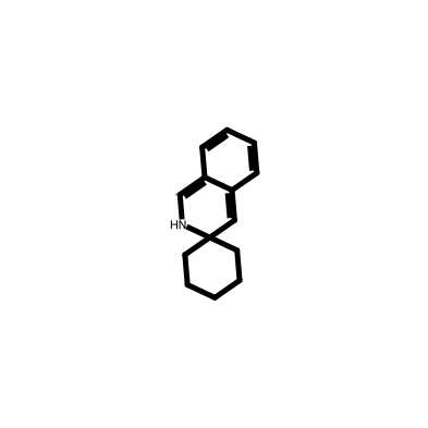 [C]1=c2ccccc2=CC2(CCCCC2)N1